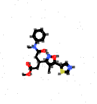 COC(=O)C[C@@H](CC(=O)N(C)c1ccccc1)c1noc(-c2cncs2)c1C